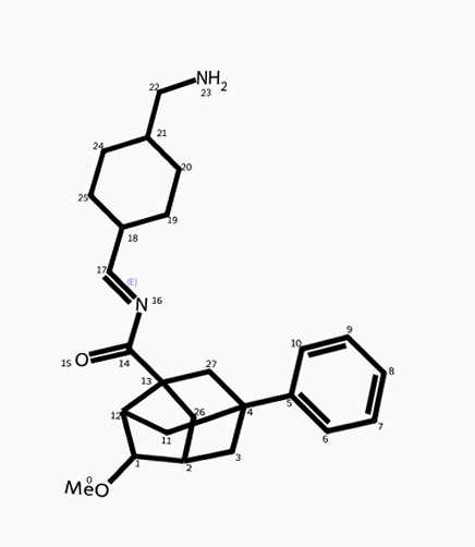 COC1C2CC3(c4ccccc4)CC1C(C(=O)/N=C/C1CCC(CN)CC1)(C2)C3